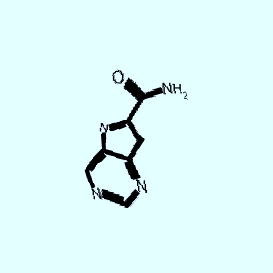 NC(=O)C1=Nc2cncnc2C1